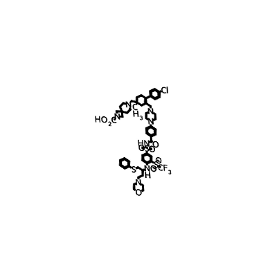 CC1(CN2CCC3(CC2)CN(C(=O)O)C3)CCC(c2ccc(Cl)cc2)=C(CN2CCN(c3ccc(C(=O)NS(=O)(=O)c4ccc(NC(CCN5CCOCC5)CSc5ccccc5)c(S(=O)(=O)C(F)(F)F)c4)cc3)CC2)C1